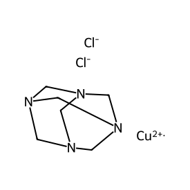 C1N2CN3CN1CN(C2)C3.[Cl-].[Cl-].[Cu+2]